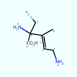 C/C(=C\CN)C(N)(CF)C(=O)O